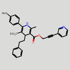 CCOC(=O)C1=C(c2ccc(SC)cc2)NC(C)=C(C(=O)OCC#Cc2cccnc2)C1CCc1ccccc1